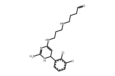 NC1=NC(NCCCNCCCC=O)=CC(c2cccc(Cl)c2Cl)N1